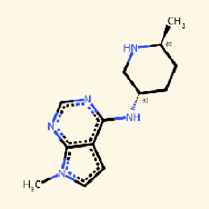 C[C@H]1CC[C@H](Nc2ncnc3c2ccn3C)CN1